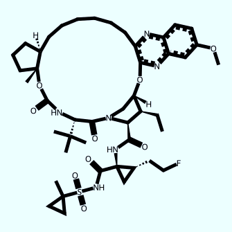 CC[C@@H]1[C@@H]2CN(C(=O)[C@H](C(C)(C)C)NC(=O)O[C@]3(C)CCC[C@H]3CCCCCCc3nc4ccc(OC)cc4nc3O2)[C@@H]1C(=O)N[C@]1(C(=O)NS(=O)(=O)C2(C)CC2)C[C@H]1CCF